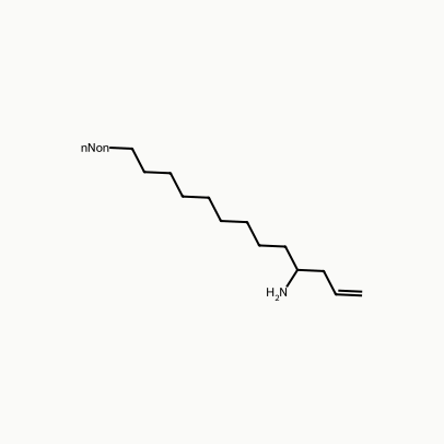 C=CCC(N)CCCCCCCCCCCCCCCCCC